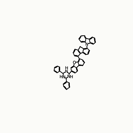 c1ccc(C2NC(c3ccccc3)NC(c3ccc4c(c3)oc3c(-c5cccc6c5-c5cccc(-n7c8ccccc8c8ccccc87)c5C6)cccc34)N2)cc1